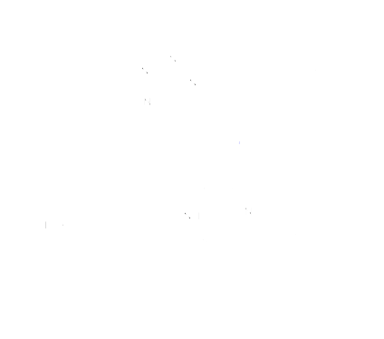 O=C(O)c1ccc(NC(=O)C2Cc3ccccc3CN2C(=O)/C=C/c2cc(Cl)ccc2-n2cnnn2)cc1